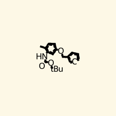 Cc1ccc(OCc2ccccc2)cc1NC(=O)OC(C)(C)C